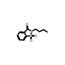 O=C1c2ccccc2S(=O)(=O)N1CCCI